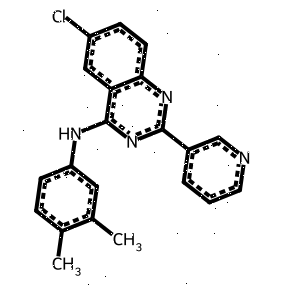 Cc1ccc(Nc2nc(-c3cccnc3)nc3ccc(Cl)cc23)cc1C